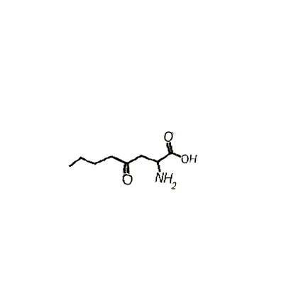 CCCCC(=O)CC(N)C(=O)O